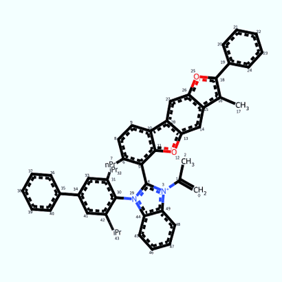 C=C(C)[n+]1c(-c2c(CCC)ccc3c2oc2cc4c(C)c(-c5ccccc5)oc4cc23)n(-c2c(C(C)C)cc(-c3ccccc3)cc2C(C)C)c2ccccc21